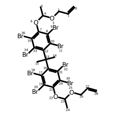 C=CCOC(C)Oc1c(Br)c(Br)c(C(C)(C)c2c(Br)c(Br)c(OC(C)OCC=C)c(Br)c2Br)c(Br)c1Br